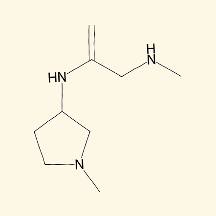 C=C(CNC)NC1CCN(C)C1